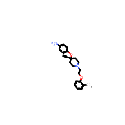 C#CC1(Oc2ccc(N)cc2)CCN(CCOc2ccccc2C(F)(F)F)CC1